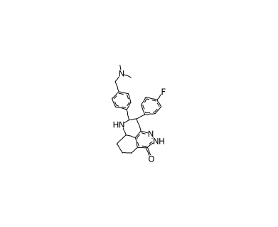 CN(C)Cc1ccc(C2NC3CCCc4c3c(n[nH]c4=O)C2c2ccc(F)cc2)cc1